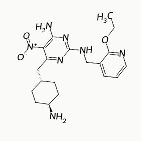 CCOc1ncccc1CNc1nc(N)c([N+](=O)[O-])c(C[C@H]2CC[C@H](N)CC2)n1